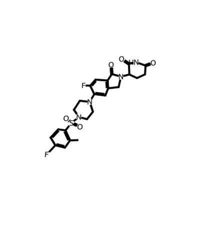 Cc1cc(F)ccc1S(=O)(=O)N1CCN(c2cc3c(cc2F)C(=O)N(C2CCC(=O)NC2=O)C3)CC1